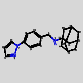 c1cnn(-c2ccc(CNC34CC5CC(CC(C5)C3)C4)cc2)c1